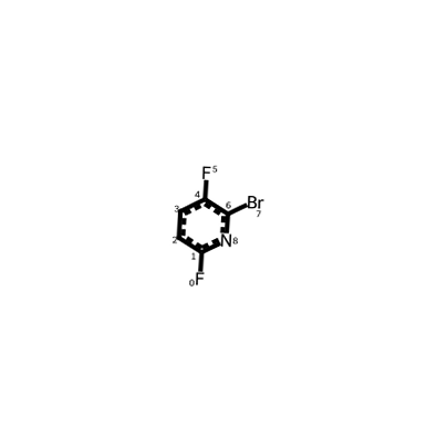 Fc1c[c]c(F)c(Br)n1